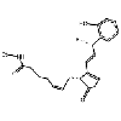 CCNC(=O)CCC/C=C\C[C@H]1C(=O)CC=C1/C=C/[C@H](CC)c1ccccc1O